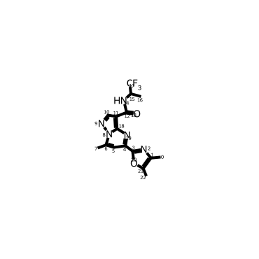 Cc1nc(-c2cc(C)n3ncc(C(=O)NC(C)C(F)(F)F)c3n2)oc1C